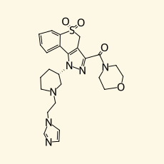 O=C(c1nn([C@H]2CCCN(CCn3ccnc3)C2)c2c1CS(=O)(=O)c1ccccc1-2)N1CCOCC1